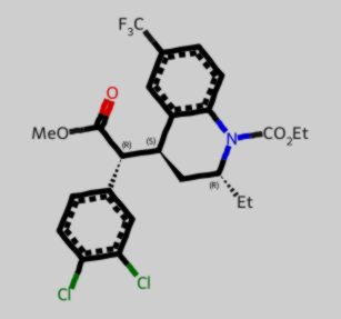 CCOC(=O)N1c2ccc(C(F)(F)F)cc2[C@H]([C@@H](C(=O)OC)c2ccc(Cl)c(Cl)c2)C[C@H]1CC